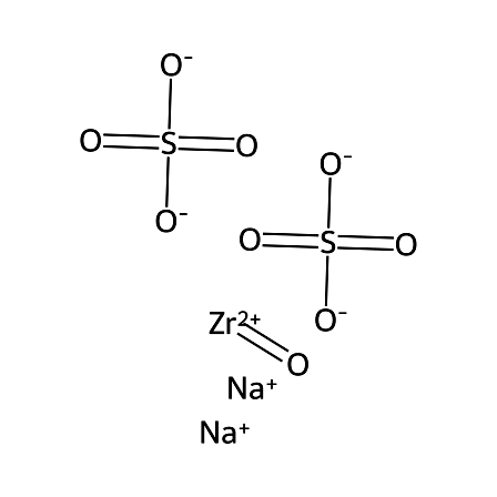 O=S(=O)([O-])[O-].O=S(=O)([O-])[O-].[Na+].[Na+].[O]=[Zr+2]